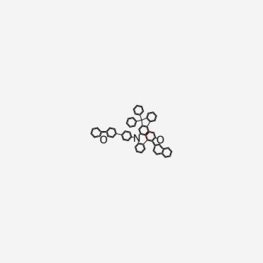 c1ccc(C2(c3ccccc3)c3ccccc3-c3ccc(N(c4ccc(-c5ccc6c(c5)oc5ccccc56)cc4)c4ccccc4-c4cccc5oc6c7ccccc7ccc6c45)cc32)cc1